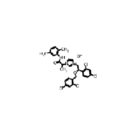 Cc1ccc(C)c(NC(=O)C(C)n2cc[n+](CC(OCc3ccc(Cl)cc3Cl)c3ccc(Cl)cc3Cl)c2)c1.[Br-]